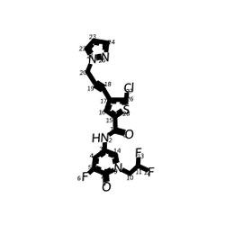 O=C(Nc1cc(F)c(=O)n(CC(F)F)c1)c1cc(C#CCn2cccn2)c(Cl)s1